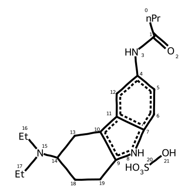 CCCC(=O)Nc1ccc2[nH]c3c(c2c1)CC(N(CC)CC)CC3.O=S(=O)(O)O